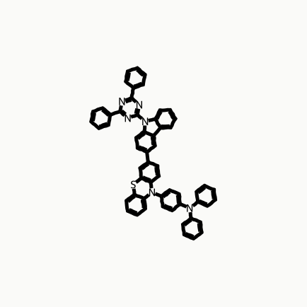 c1ccc(-c2nc(-c3ccccc3)nc(-n3c4ccccc4c4cc(-c5ccc6c(c5)Sc5ccccc5N6c5ccc(N(c6ccccc6)c6ccccc6)cc5)ccc43)n2)cc1